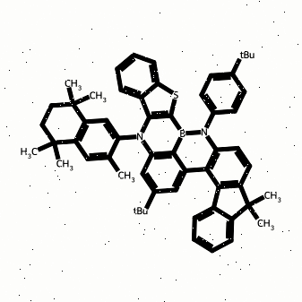 Cc1cc2c(cc1N1c3cc(C(C)(C)C)cc4c3B(c3sc5ccccc5c31)N(c1ccc(C(C)(C)C)cc1)c1ccc3c(c1-4)-c1ccccc1C3(C)C)C(C)(C)CCC2(C)C